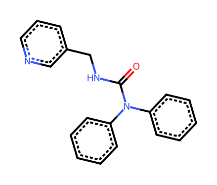 O=C(NCc1cccnc1)N(c1ccccc1)c1ccccc1